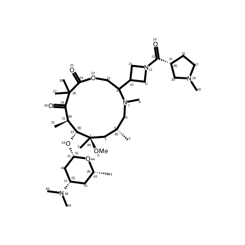 CO[C@]1(C)C[C@@H](C)CN(C)C(C2CN(C(=O)[C@@H]3CCN(C)C3)C2)COC(=O)C(C)(C)C(=O)[C@H](C)[C@H]1O[C@H]1C[C@@H](N(C)C)C[C@@H](C)O1